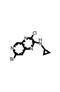 Clc1nc2cnc(Br)cc2nc1NC1CC1